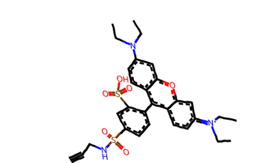 C#CCNS(=O)(=O)c1ccc(-c2c3ccc(=[N+](CC)CC)cc-3oc3cc(N(CC)CC)ccc23)c(S(=O)(=O)O)c1